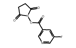 O=C(ON1C(=O)CCC1=O)c1cncc(F)c1